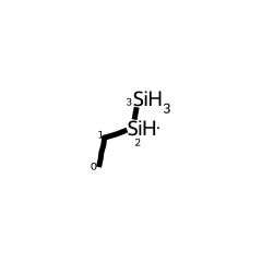 CC[SiH][SiH3]